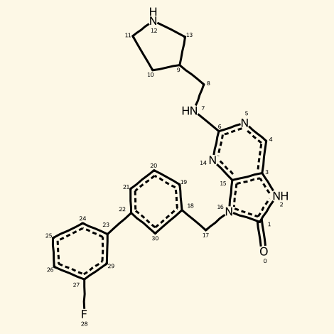 O=c1[nH]c2cnc(NCC3CCNC3)nc2n1Cc1cccc(-c2cccc(F)c2)c1